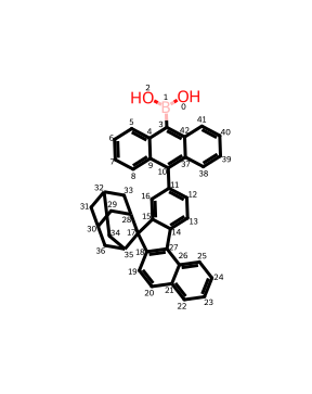 OB(O)c1c2ccccc2c(-c2ccc3c(c2)C2(c4ccc5ccccc5c4-3)C3CC4CC(C3)CC2C4)c2ccccc12